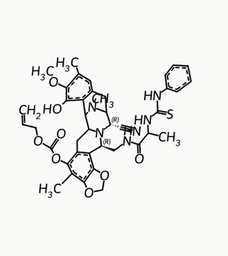 C=CCOC(=O)Oc1c(C)c2c(c3c1CC1C4c5c(cc(C)c(OC)c5O)CC([C@H](C#N)N1[C@H]3CNC(=O)C(C)NC(=S)Nc1ccccc1)N4C)OCO2